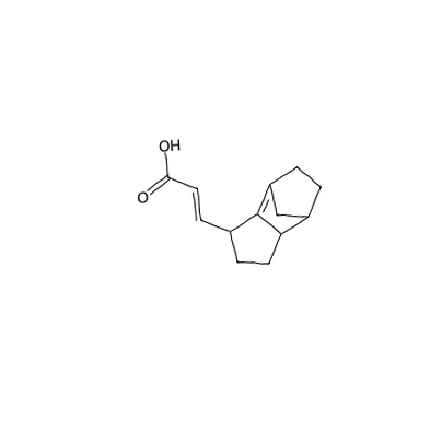 O=C(O)C=CC1CCC2C1=C1CCC2C1